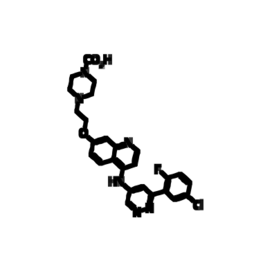 O=C(O)N1CCN(CCOc2ccc3c(Nc4cnnc(-c5cc(Cl)ccc5F)c4)ccnc3c2)CC1